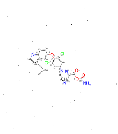 CCN(N=C(C#N)C(=O)OC(N)=O)c1cc(Cl)c(Oc2ccc3nccc(C4CC4)c3c2)c(Cl)c1